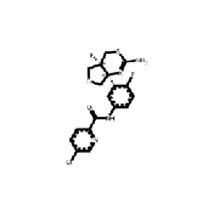 NC1=N[C@@]2(c3cc(NC(=O)c4ccc(Cl)cn4)ccc3F)COC[C@@]2(F)CS1